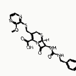 COc1nccnc1SCC1=C(C(=O)O)N2C(=O)C(NC(=O)NCc3ccccc3)[C@H]2SC1